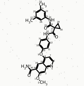 COc1cc2nccc(Oc3ccc(NC(=O)C4(C(=O)Nc5cc(C)cc(C)c5)CC4)cc3)c2cc1C(N)=O